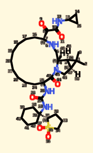 CC1(C)[C@@H]2[C@H]3CN[C@H](C(=O)C(=O)NC4CC4)CCCCCCCCC[C@H](NC(=O)NC4([C@@H]5CCCS5(=O)=O)CCCCC4)C(=O)N3C[C@@H]21